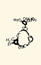 CCc1cc2cc(c1C)OCCCC(OC(=O)c1cc(OC)c(OC)c(OC)c1)CCN1CCCN(CCCOC2=O)CC1